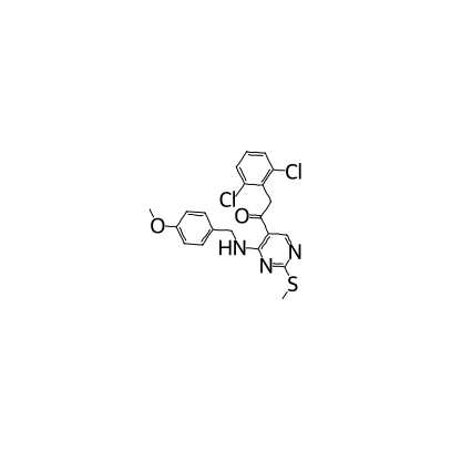 COc1ccc(CNc2nc(SC)ncc2C(=O)Cc2c(Cl)cccc2Cl)cc1